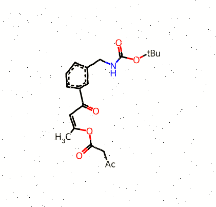 CC(=O)CC(=O)O/C(C)=C\C(=O)c1cccc(CNC(=O)OC(C)(C)C)c1